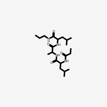 CCCNC(=O)C(CC(C)C)NC(=O)C(C)NC(=O)C(CC(C)C)NC(=O)CC